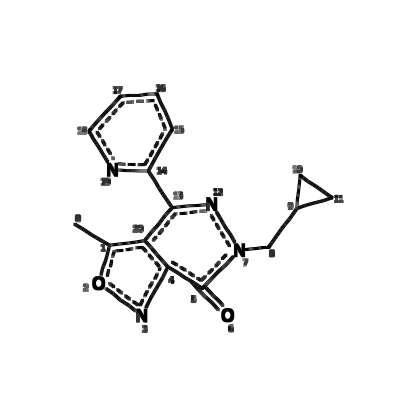 Cc1onc2c(=O)n(CC3CC3)nc(-c3ccccn3)c12